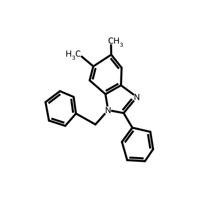 Cc1cc2nc(-c3ccccc3)n(Cc3ccccc3)c2cc1C